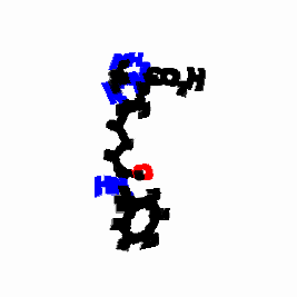 Nc1nc(CCCC(=O)Nc2ccccc2)cn1C(=O)O